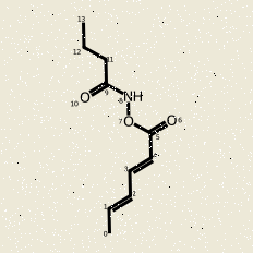 C/C=C/C=C/C(=O)ONC(=O)CCC